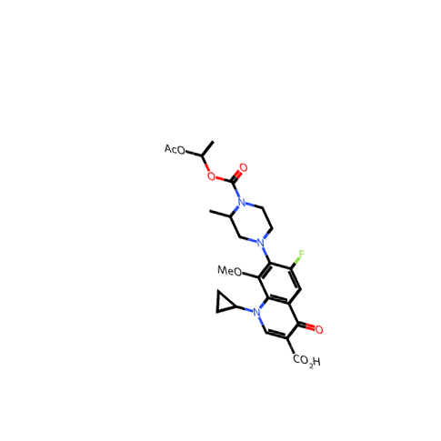 COc1c(N2CCN(C(=O)OC(C)OC(C)=O)C(C)C2)c(F)cc2c(=O)c(C(=O)O)cn(C3CC3)c12